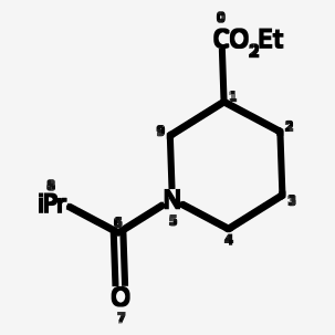 CCOC(=O)C1CCCN(C(=O)C(C)C)C1